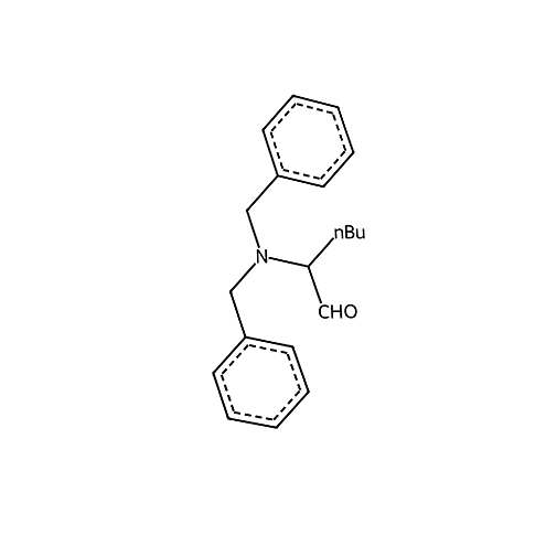 CCCCC(C=O)N(Cc1ccccc1)Cc1ccccc1